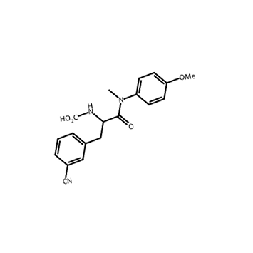 COc1ccc(N(C)C(=O)C(Cc2cccc(C#N)c2)NC(=O)O)cc1